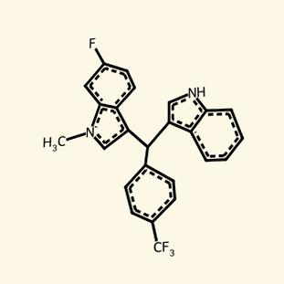 Cn1cc(C(c2ccc(C(F)(F)F)cc2)c2c[nH]c3ccccc23)c2ccc(F)cc21